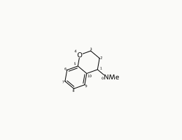 CNC1CCOc2ccccc21